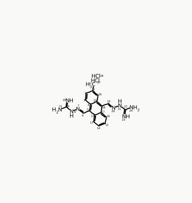 Cc1ccc2c(C=NNC(=N)N)c3ccccc3c(C=NNC(=N)N)c2c1.Cl.Cl